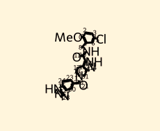 COc1ccc(Cl)cc1CNC(=O)c1[nH]nc2c1CCN(C(=O)c1ccc3[nH]nnc3c1)C2